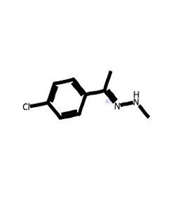 CN/N=C(\C)c1ccc(Cl)cc1